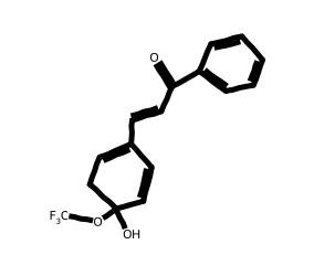 O=C(C=CC1=CCC(O)(OC(F)(F)F)C=C1)c1ccccc1